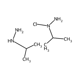 CC(C)N(N)Cl.CC(C)NN